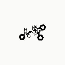 O=C(CSc1nnc(-c2ccccc2)n1C(F)(F)c1ccccc1)Nc1ccccc1